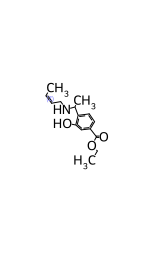 C/C=C\CNC(C)c1ccc(C(=O)OCC)cc1O